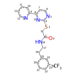 O=C(CSc1nccc(-c2ccccn2)n1)NCCc1cccc(C(F)(F)F)c1